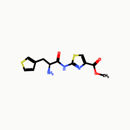 COC(=O)c1csc(NC(=O)[C@@H](N)Cc2ccsc2)n1